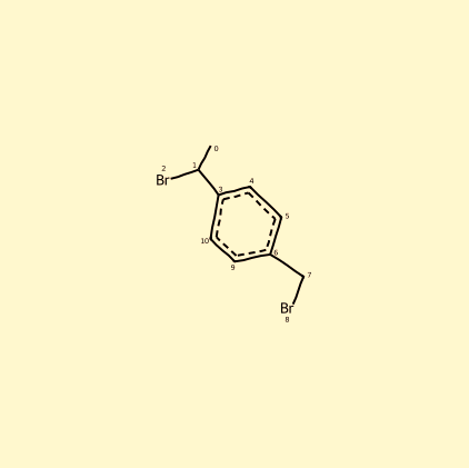 CC(Br)c1ccc(CBr)cc1